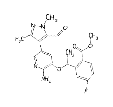 COC(=O)c1ccc(F)cc1C(C)Oc1cc(-c2c(C)nn(C)c2C=O)cnc1N